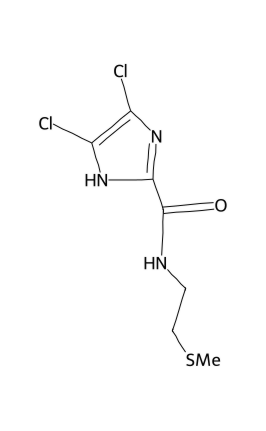 CSCCNC(=O)c1nc(Cl)c(Cl)[nH]1